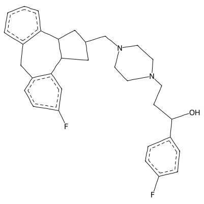 OC(CCN1CCN(CC2CC3c4ccccc4Cc4ccc(F)cc4C3C2)CC1)c1ccc(F)cc1